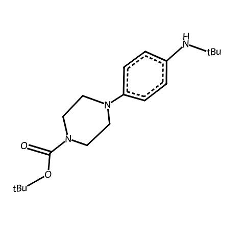 CC(C)(C)Nc1ccc(N2CCN(C(=O)OC(C)(C)C)CC2)cc1